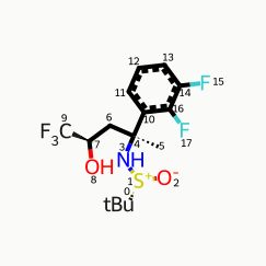 CC(C)(C)[S@@+]([O-])N[C@@](C)(C[C@@H](O)C(F)(F)F)c1cccc(F)c1F